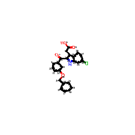 O=C(O)Cc1c(C(=O)c2cccc(OCc3ccccc3)c2)[nH]c2cc(Cl)ccc12